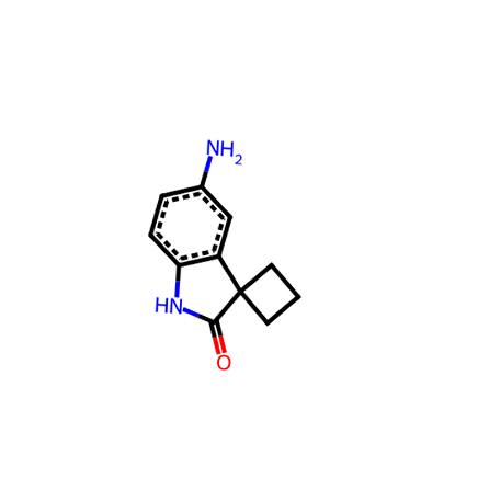 Nc1ccc2c(c1)C1(CCC1)C(=O)N2